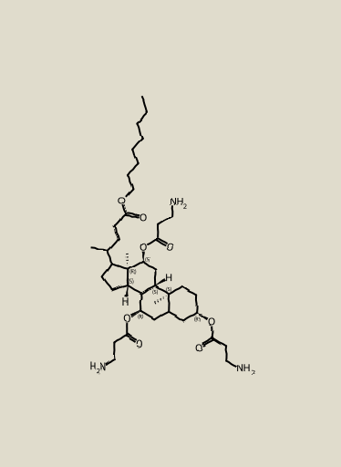 CCCCCCCCOC(=O)CCC(C)C1CC[C@H]2C3[C@H](OC(=O)CCN)CC4C[C@H](OC(=O)CCN)CC[C@]4(C)[C@H]3C[C@H](OC(=O)CCN)[C@]12C